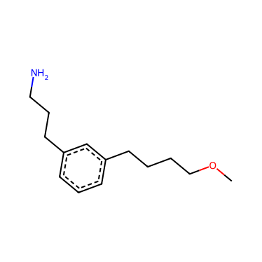 COCCCCc1cccc(CCCN)c1